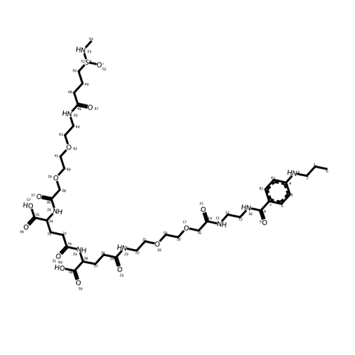 CCCNc1ccc(C(=O)NCCNC(=O)COCCOCCNC(=O)CCC(NC(=O)CCC(NC(=O)COCCOCCNC(=O)CCC[S+]([O-])NC)C(=O)O)C(=O)O)cc1